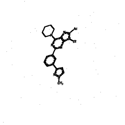 CCn1c(C(C)=O)nc2c(N3CCCCC3)nc(-c3cccc(-c4ccn(C)n4)c3)nc21